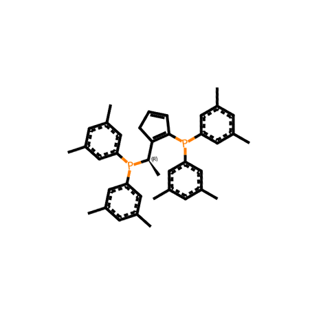 Cc1cc(C)cc(P(C2=C([C@@H](C)P(c3cc(C)cc(C)c3)c3cc(C)cc(C)c3)CC=C2)c2cc(C)cc(C)c2)c1